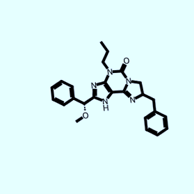 CCCN1C(=O)N2CC(Cc3ccccc3)N=C2c2[nH]c([C@H](OC)c3ccccc3)nc21